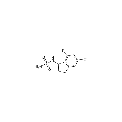 NS(=O)(=O)NC1CCc2cc(Cl)cc(F)c21